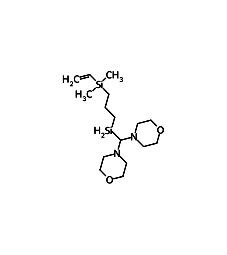 C=C[Si](C)(C)CCC[SiH2]C(N1CCOCC1)N1CCOCC1